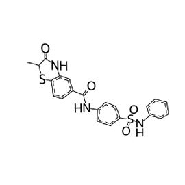 CC1Sc2ccc(C(=O)Nc3ccc(S(=O)(=O)Nc4ccccc4)cc3)cc2NC1=O